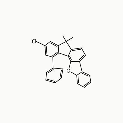 CC1(C)c2cc(Cl)cc(-c3ccccc3)c2-c2c1ccc1c2oc2ccccc21